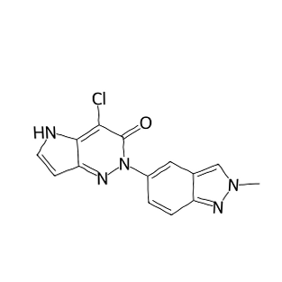 Cn1cc2cc(-n3nc4cc[nH]c4c(Cl)c3=O)ccc2n1